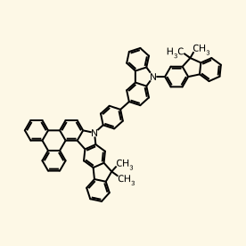 CC1(C)c2ccccc2-c2ccc(-n3c4ccccc4c4cc(-c5ccc(-n6c7cc8c(cc7c7c9c%10ccccc%10c%10ccccc%10c9ccc76)-c6ccccc6C8(C)C)cc5)ccc43)cc21